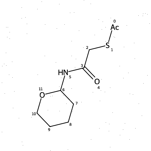 CC(=O)SCC(=O)NC1CCCCO1